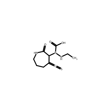 CCNN(C(=O)O)C1C(=O)NCCCC1=C=S